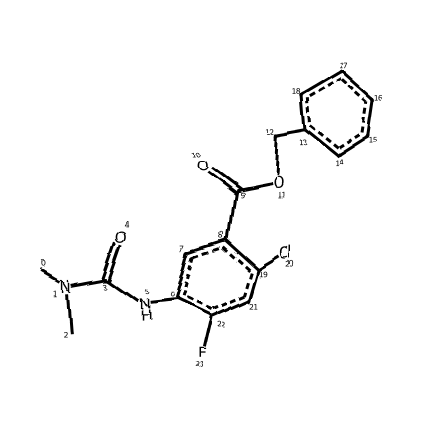 CN(C)C(=O)Nc1cc(C(=O)OCc2ccccc2)c(Cl)cc1F